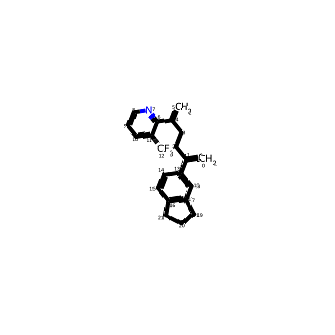 C=C(CCC(=C)c1ncccc1C(F)(F)F)c1ccc2c(c1)CCC2